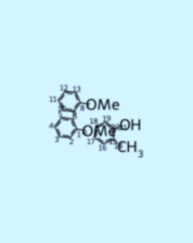 COc1ccccc1.COc1ccccc1.Cc1ccccc1O